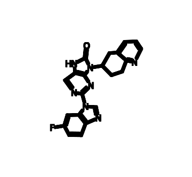 O=c1[nH]c2cnc(-n3cnc4ccc(F)cc43)nc2n1C1CCc2ncccc2C1